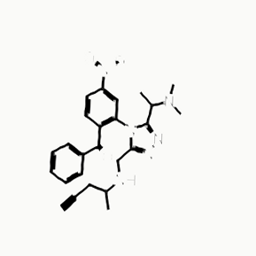 C#CCC(C)NCc1nnc(C(C)N(C)C)n1-c1cc([N+](=O)[O-])ccc1C(=O)c1ccccc1